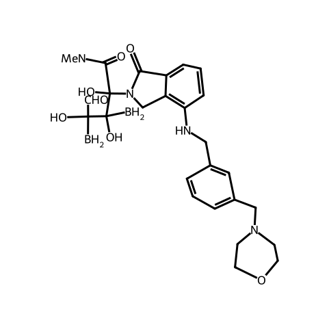 BC(O)(C=O)C(B)(O)C(O)(C(=O)NC)N1Cc2c(NCc3cccc(CN4CCOCC4)c3)cccc2C1=O